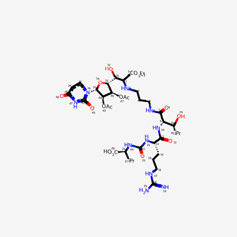 CCOC(=O)C(NCCCNC(=O)[C@@H](NC(=O)[C@H](CCCNC(=N)N)NC(=O)N[C@H](C(=O)O)C(C)C)[C@@H](O)C(C)C)C(O)[C@H]1O[C@@H](n2ccc(=O)[nH]c2=O)[C@H](OC(C)=O)[C@@H]1OC(C)=O